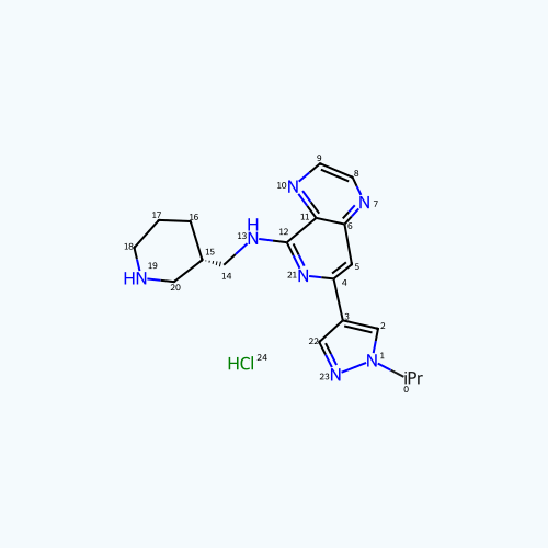 CC(C)n1cc(-c2cc3nccnc3c(NC[C@H]3CCCNC3)n2)cn1.Cl